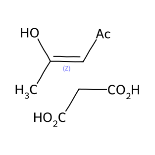 CC(=O)/C=C(/C)O.O=C(O)CC(=O)O